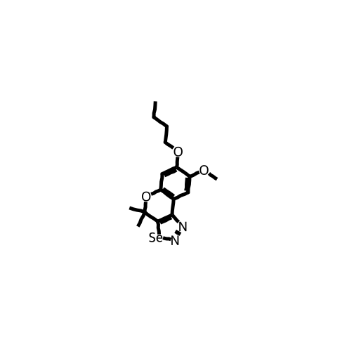 CCCCOc1cc2c(cc1OC)-c1nn[se]c1C(C)(C)O2